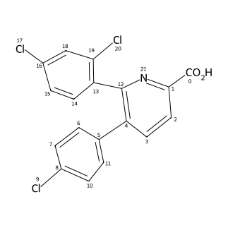 O=C(O)c1ccc(-c2ccc(Cl)cc2)c(-c2ccc(Cl)cc2Cl)n1